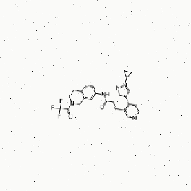 O=C(C=Cc1cnccc1-c1cnn(C2CC2)c1)Nc1ccc2c(c1)CN(C(=O)C(F)(F)F)CC2